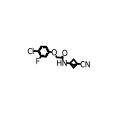 N#CC12CC(NC(=O)COc3ccc(Cl)c(F)c3)(C1)C2